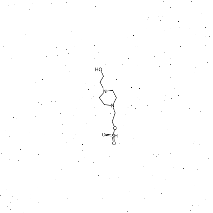 O=[SH](=O)OCCN1CCN(CCO)CC1